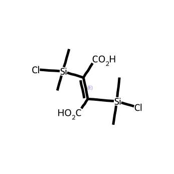 C[Si](C)(Cl)/C(C(=O)O)=C(\C(=O)O)[Si](C)(C)Cl